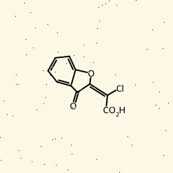 O=C(O)C(Cl)=C1Oc2ccccc2C1=O